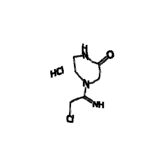 Cl.N=C(CCl)N1CCNC(=O)C1